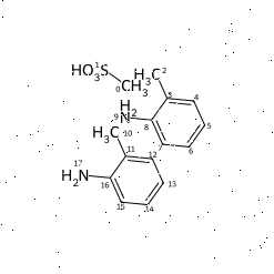 CS(=O)(=O)O.Cc1ccccc1N.Cc1ccccc1N